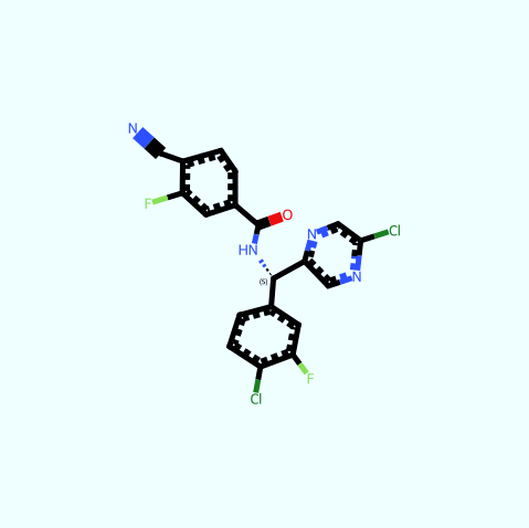 N#Cc1ccc(C(=O)N[C@@H](c2ccc(Cl)c(F)c2)c2cnc(Cl)cn2)cc1F